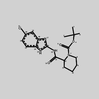 CC(C)(C)OC(=O)N1CCCCC1C(=O)Nc1nc2cc(Cl)ccc2[nH]1